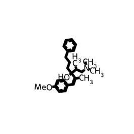 COc1ccc(C=C(C)C(O)(CCCc2ccccc2)C(C)CN(C)C)cc1